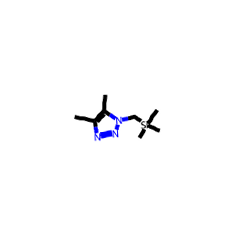 Cc1nnn(C[Si](C)(C)C)c1C